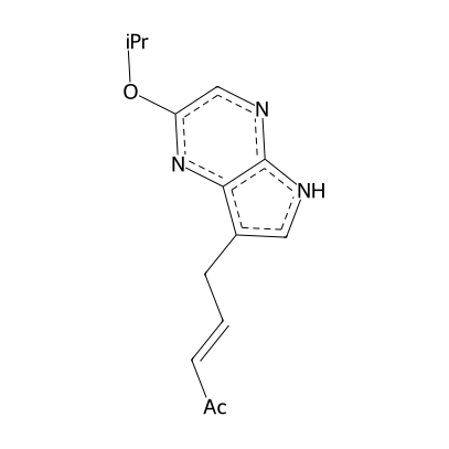 CC(=O)C=CCc1c[nH]c2ncc(OC(C)C)nc12